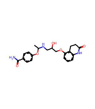 CC(NCC(O)COc1cccc2c1CCC(=O)N2)Oc1ccc(C(N)=O)cc1